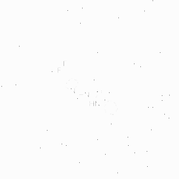 Cc1ccc(C)c(NC(=O)NCc2cc(C(F)(F)F)ccn2)c1